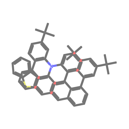 CC(C)(C)c1cc(-c2cccc3cccc(-c4ccccc4N(c4cc(C(C)(C)C)ccc4-c4ccccc4)c4cccc5sc6ccccc6c45)c23)cc(C(C)(C)C)c1